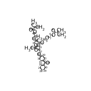 C=C(C)C(=O)OCCOCCOC(C)OCC(COc1ccc(C(=O)c2ccccc2)cc1)OC(C)OCCOCCOC(=O)C(=C)C